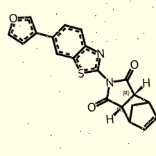 O=C1[C@@H]2C3C=CC(C3)[C@@H]2C(=O)N1c1nc2ccc(-c3ccoc3)cc2s1